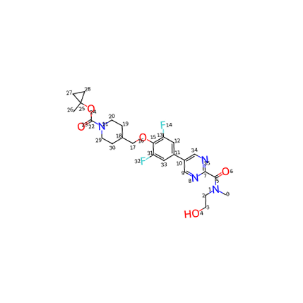 CN(CCO)C(=O)c1ncc(-c2cc(F)c(OCC3CCN(C(=O)OC4(C)CC4)CC3)c(F)c2)cn1